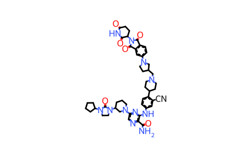 N#Cc1cc(Nc2nc(N3CCCC(N4CCN(C5CCCC5)C4=O)C3)cnc2C(N)=O)ccc1C1CCN(CC2CCN(c3ccc4c(c3)C(=O)N(C3CCC(=O)NC3=O)C4=O)C2)CC1